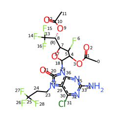 CC(=O)OC1C(F)C([C@@H](OC(C)=O)C(F)(F)F)OC1n1c(=O)n(CCC(F)(F)F)c2c(Cl)nc(N)nc21